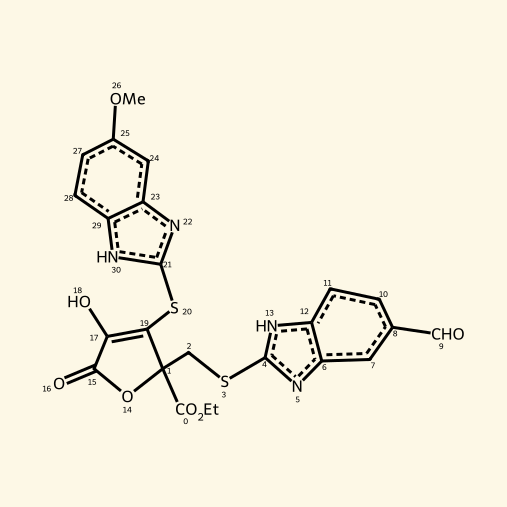 CCOC(=O)C1(CSc2nc3cc(C=O)ccc3[nH]2)OC(=O)C(O)=C1Sc1nc2cc(OC)ccc2[nH]1